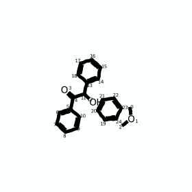 COC.O=C(c1ccccc1)C(O)c1ccccc1.c1ccccc1